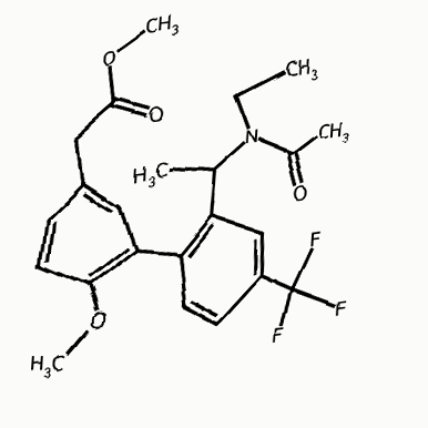 CCN(C(C)=O)C(C)c1cc(C(F)(F)F)ccc1-c1cc(CC(=O)OC)ccc1OC